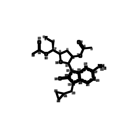 CC(=O)OC1CC([C@H](CF)OC(C)=O)OC1n1c(=O)n(CC2CC2)c2cnc(N)nc21